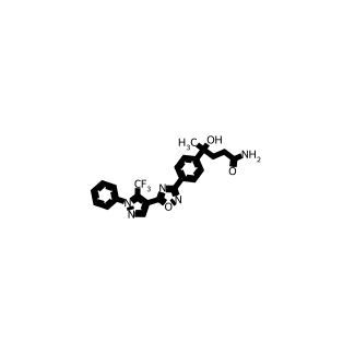 CC(O)(CCC(N)=O)c1ccc(-c2noc(-c3cnn(-c4ccccc4)c3C(F)(F)F)n2)cc1